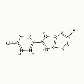 CC(=O)c1ccc2nc(-c3ccc(Cl)nn3)oc2c1